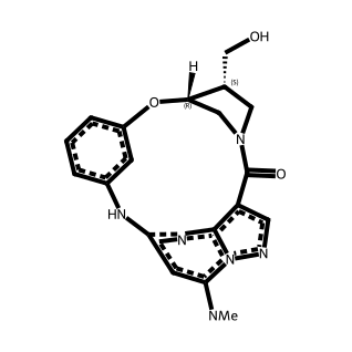 CNc1cc2nc3c(cnn13)C(=O)N1C[C@@H](CO)[C@H](C1)Oc1cccc(c1)N2